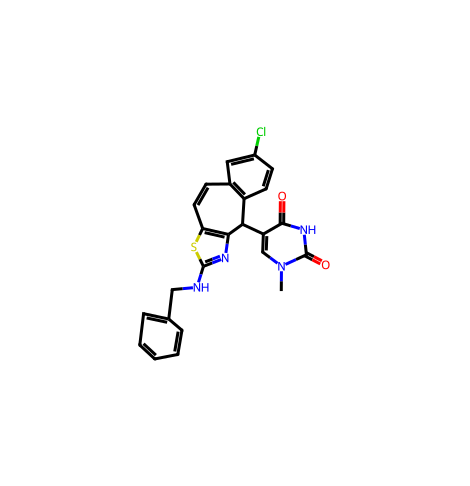 Cn1cc(C2c3ccc(Cl)cc3C=Cc3sc(NCc4ccccc4)nc32)c(=O)[nH]c1=O